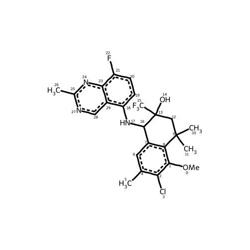 COc1c(Cl)c(C)cc2c1C(C)(C)CC(O)(C(F)(F)F)C2Nc1ccc(F)c2nc(C)ncc12